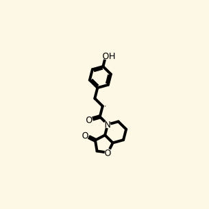 O=C1COC2CCCN(C(=O)[CH]Cc3ccc(O)cc3)C12